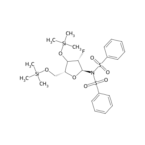 C[Si](C)(C)OC[C@H]1O[C@H](N(S(=O)(=O)c2ccccc2)S(=O)(=O)c2ccccc2)[C@@H](F)C1O[Si](C)(C)C